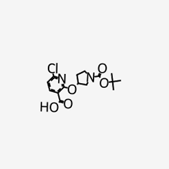 CC(C)(C)OC(=O)N1CC[C@H](Oc2nc(Cl)ccc2C(=O)O)C1